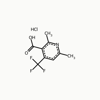 Cc1cc(C(F)(F)F)c(C(=O)O)c(C)n1.Cl